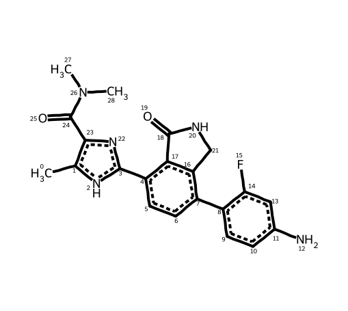 Cc1[nH]c(-c2ccc(-c3ccc(N)cc3F)c3c2C(=O)NC3)nc1C(=O)N(C)C